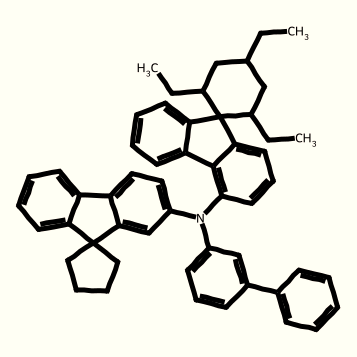 CCC1CC(CC)C2(c3ccccc3-c3c(N(c4cccc(-c5ccccc5)c4)c4ccc5c(c4)C4(CCCC4)c4ccccc4-5)cccc32)C(CC)C1